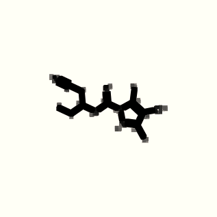 CCC(CC#N)SC(=S)n1nc(C)c(Cl)c1C